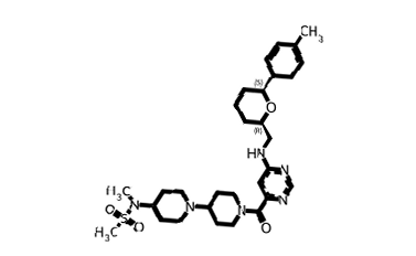 CC1=CCC([C@@H]2CCC[C@H](CNc3cc(C(=O)N4CCC(N5CCC(N(C)S(C)(=O)=O)CC5)CC4)ncn3)O2)C=C1